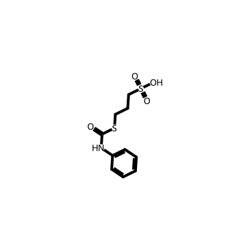 O=C(Nc1ccccc1)SCCCS(=O)(=O)O